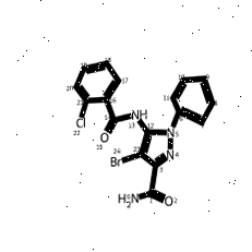 NC(=O)c1nn(-c2ccccc2)c(NC(=O)c2ccccc2Cl)c1Br